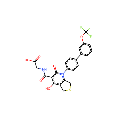 O=C(O)CNC(=O)c1c(O)c2c(n(-c3ccc(-c4cccc(OC(F)(F)F)c4)cc3)c1=O)CSC2